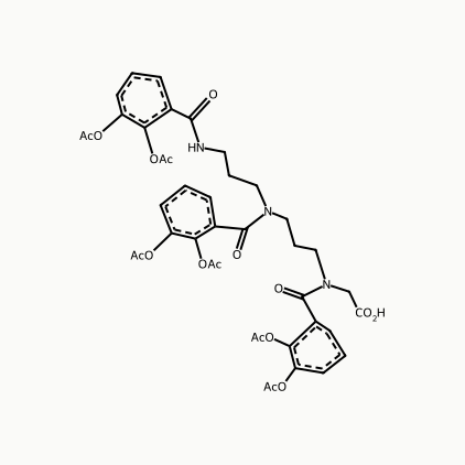 CC(=O)Oc1cccc(C(=O)NCCCN(CCCN(CC(=O)O)C(=O)c2cccc(OC(C)=O)c2OC(C)=O)C(=O)c2cccc(OC(C)=O)c2OC(C)=O)c1OC(C)=O